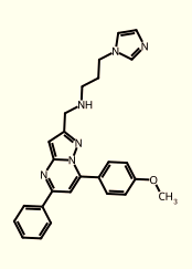 COc1ccc(-c2cc(-c3ccccc3)nc3cc(CNCCCn4ccnc4)nn23)cc1